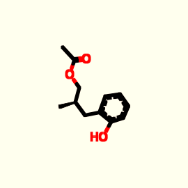 CC(=O)OC[C@H](C)Cc1ccccc1O